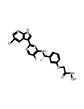 C[C@H](Nc1nc(-c2c[nH]c3ncc(Cl)cc23)ncc1F)c1cccc(OCC(=O)NO)c1